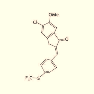 COc1cc2c(cc1Cl)CC(=Cc1ccc(SC(F)(F)F)cc1)C2=O